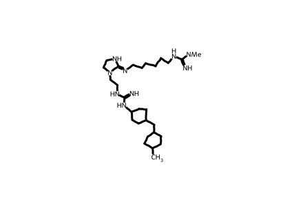 CNC(=N)NCCCCCC/N=C1\NCCN1CCNC(=N)NC1CCC(CC2CCC(C)CC2)CC1